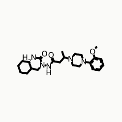 COc1ccccc1N1CCN(C(C)CC(=O)NN(CC2CCCCC2)C(N)=O)CC1